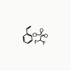 C=Cc1ccccc1.O=S(=O)(Cl)C(F)F